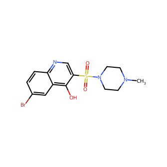 CN1CCN(S(=O)(=O)c2cnc3ccc(Br)cc3c2O)CC1